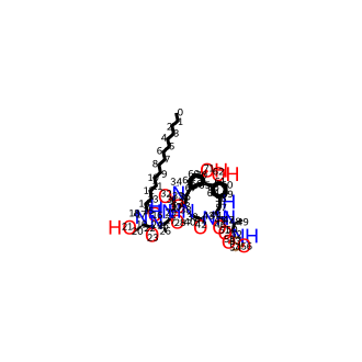 CCCCCCCCCCCCCCCC(=O)N(C)[C@H](CO)C(=O)N[C@H](C)C(=O)NCC(=O)N(C)[C@@H]1C(=O)N[C@@H](C)C(=O)N[C@H](C(=O)N[C@@H](C)C(=O)NS(C)(=O)=O)Cc2ccc(O)c(c2)-c2cc1ccc2O